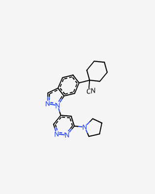 N#CC1(c2ccc3cnn(-c4cnnc(N5CCCC5)c4)c3c2)CCCCC1